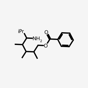 CC(C)C(N)C(C)C(C)C(C)COC(=O)c1ccccc1